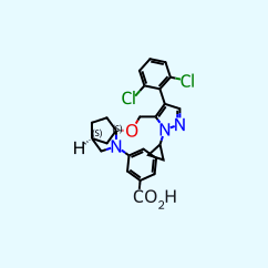 O=C(O)c1cccc(N2C[C@H]3CC[C@]2(OCc2c(-c4c(Cl)cccc4Cl)cnn2C2CC2)C3)c1